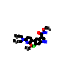 CCN(CC)c1ccc(-c2cc3c(C(=O)NOC)c[nH]c3cc2Cl)c(OC)n1